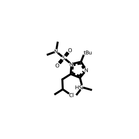 CC(Cl)Cc1c([SiH](C)C)nc(C(C)(C)C)n1S(=O)(=O)N(C)C